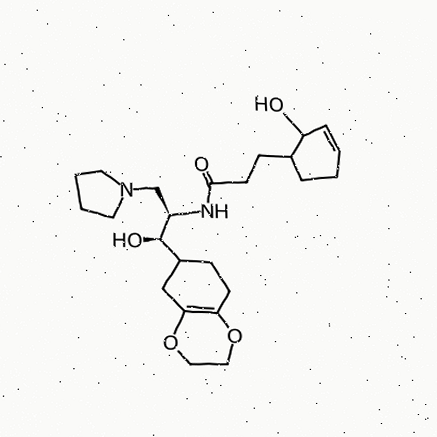 O=C(CCC1CCC=CC1O)N[C@H](CN1CCCC1)[C@H](O)C1CCC2=C(C1)OCCO2